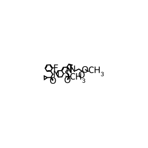 CCOC(=O)CCn1ccc(/C=C2/CN([C@@H](C(=O)C3CC3)c3ccccc3F)CC[C@@H]2SC(C)=O)n1